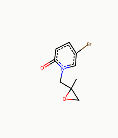 CC1(Cn2cc(Br)ccc2=O)CO1